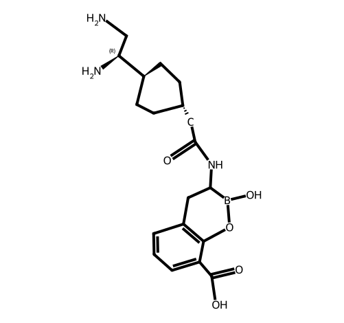 NC[C@H](N)[C@H]1CC[C@H](CC(=O)NC2Cc3cccc(C(=O)O)c3OB2O)CC1